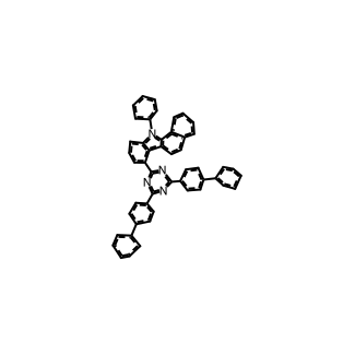 c1ccc(-c2ccc(-c3nc(-c4ccc(-c5ccccc5)cc4)nc(-c4cccc5c4c4ccc6ccccc6c4n5-c4ccccc4)n3)cc2)cc1